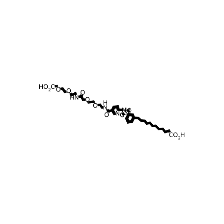 O=C(O)CCCCCCCCCCCc1cccc(S(=O)(=O)Nc2ccc(C(=O)NCCOCCOCC(=O)NCCOCCOCC(=O)O)cn2)c1